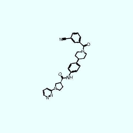 N#Cc1cccc(C(=O)N2CCC(c3ccc(NC(=O)[C@H]4CCN(c5cccnn5)C4)cc3)CC2)c1